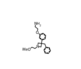 COCCN1CC(Cc2ccccc2)(c2cccc(OCCN)c2)C1